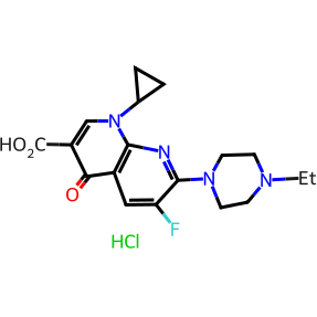 CCN1CCN(c2nc3c(cc2F)c(=O)c(C(=O)O)cn3C2CC2)CC1.Cl